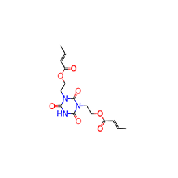 CC=CC(=O)OCCn1c(=O)[nH]c(=O)n(CCOC(=O)C=CC)c1=O